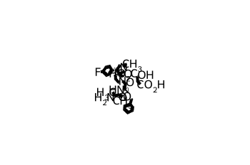 CN1C[C@@H](c2ccc(F)cc2)[C@@]2(CCCN(C(=O)[C@@H](COCc3ccccc3)NC(=O)C(C)(C)N)C2)C1=O.O=C(O)CC(O)C(=O)O